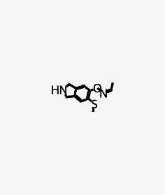 C/C=N\Oc1cc2c(cc1SC)CNC2